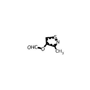 Cc1nscc1OC=O